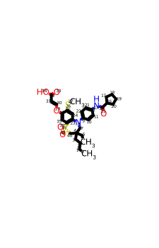 CCCCC1(CC)CN(c2ccc(NC(=O)C3CCCC3)cc2)c2cc(SC)c(OC=CC(=O)O)cc2S(=O)(=O)C1